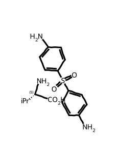 CC(C)[C@H](N)C(=O)O.Nc1ccc(S(=O)(=O)c2ccc(N)cc2)cc1